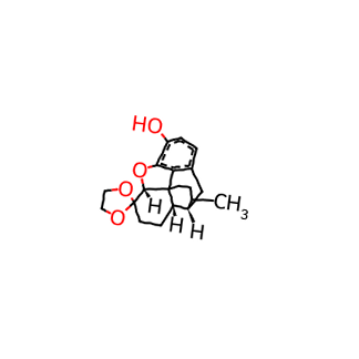 CC1CCC23c4c5ccc(O)c4O[C@H]2C2(CC[C@H]3[C@H]1C5)OCCO2